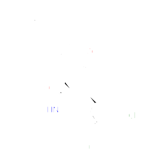 CC(C)(C)c1ccc(C2=C[C@@]3(C(=O)Nc4cc(Cl)ccc43)[C@H](C3C=CC=C(Cl)C3)CC2=O)cc1